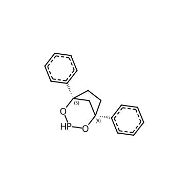 c1ccc([C@@]23CC[C@@](c4ccccc4)(C2)OPO3)cc1